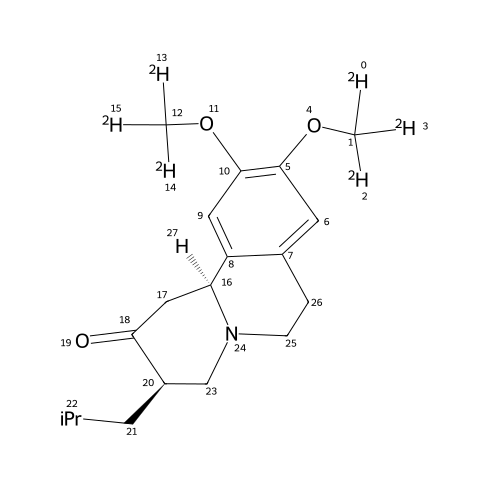 [2H]C([2H])([2H])Oc1cc2c(cc1OC([2H])([2H])[2H])[C@@H]1CC(=O)[C@H](CC(C)C)CN1CC2